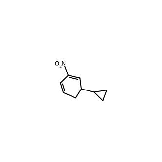 O=[N+]([O-])C1=CC(C2CC2)CC=C1